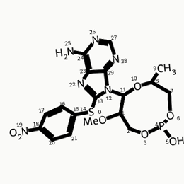 COC1COP(O)OCC(C)OC1n1c(Sc2ccc([N+](=O)[O-])cc2)nc2c(N)ncnc21